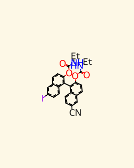 [CH2]CNC(=O)Oc1ccc2cc(I)ccc2c1-c1c(OC(=O)NC[CH2])ccc2cc(C#N)ccc12